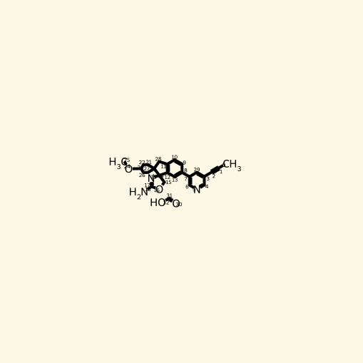 CC#Cc1cncc(-c2ccc3c(c2)C2(COC(N)=N2)C2(CCC(OC)CC2)C3)c1.O=CO